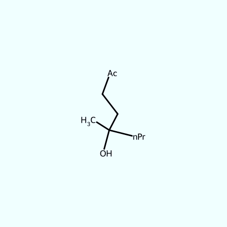 CCCC(C)(O)CCC(C)=O